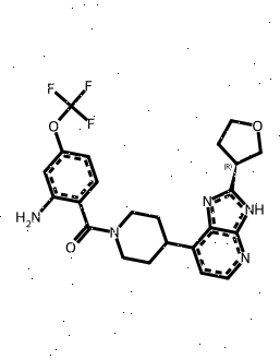 Nc1cc(OC(F)(F)F)ccc1C(=O)N1CCC(c2ccnc3[nH]c([C@H]4CCOC4)nc23)CC1